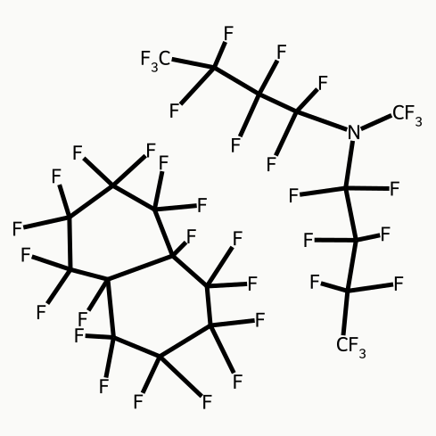 FC(F)(F)N(C(F)(F)C(F)(F)C(F)(F)C(F)(F)F)C(F)(F)C(F)(F)C(F)(F)C(F)(F)F.FC1(F)C(F)(F)C(F)(F)C2(F)C(F)(F)C(F)(F)C(F)(F)C(F)(F)C2(F)C1(F)F